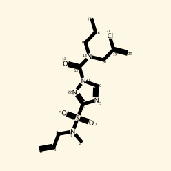 C=CCN(C)S(=O)(=O)c1ncn(C(=O)N(CCC)CC(=C)Cl)n1